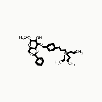 C=CC[Si](CC=C)(CC=C)CCCc1ccc(COC2C(O)C(OC)OC3COC(c4ccccc4)OC32)cc1